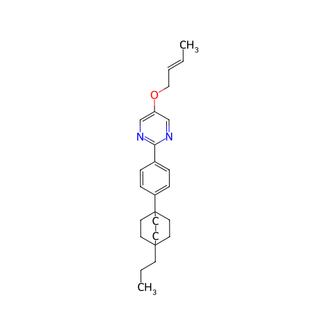 C/C=C/COc1cnc(-c2ccc(C34CCC(CCC)(CC3)CC4)cc2)nc1